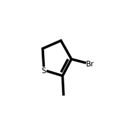 CC1=C(Br)CCS1